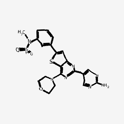 CN(c1cccc(-c2cc3nc(-c4cnc(N)nc4)nc(N4CCOCC4)c3s2)c1)[SH](=O)=O